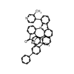 Cc1cnccc1-c1cccc2c3cccc(-c4ccncc4C)c3n(-c3cccc4c3C(=O)N(c3cc(-c5ccccc5)ccc3-c3ccccc3)C4=O)c12